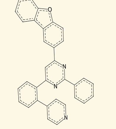 c1ccc(-c2nc(-c3ccc4oc5ccccc5c4c3)cc(-c3ccccc3-c3ccncc3)n2)cc1